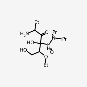 CCOC(CO)C(O)(C(=O)C(N)CC)[PH](=O)N(C(C)C)C(C)C